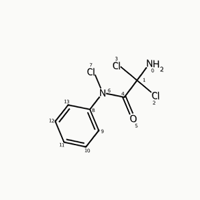 NC(Cl)(Cl)C(=O)N(Cl)c1ccccc1